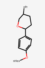 CCCCCCOc1ccc(C2CCC(CCC)CO2)cc1